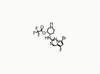 O=C(O[C@@H]1CNCC[C@H]1Nc1ncc2c(F)cc(Br)n2n1)C(F)(F)F